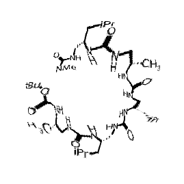 CNC(=O)NC[C@H](CC(C)C)NC(=O)NC[C@H](C)NC(=O)NC[C@@H](NC(=O)NC[C@H](CC(C)C)NC(=O)NC[C@H](C)NC(=O)OC(C)(C)C)C(C)C